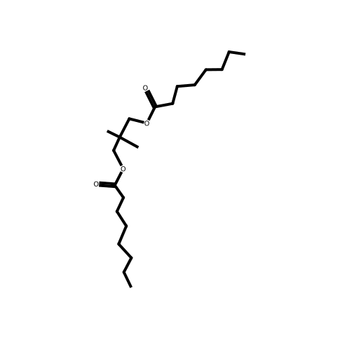 CCCCCCCC(=O)OCC(C)(C)COC(=O)CCCCCCC